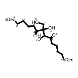 CCCCCCCCCCCCCCC(=O)C(O)C(O)(CO)C(=O)CCCCCCCCCCCCCC